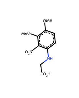 COc1ccc(NCC(=O)O)c([N+](=O)[O-])c1OC